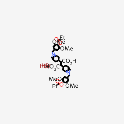 Br.Br.CCC(=O)Oc1c(OC)cc(CN2CC3CC(/C(C(=O)O)=C(\C(=O)O)C4CC5CC(C4)N(Cc4cc(OC)c(OC(=O)CC)c(OC)c4)C5)CC2C3)cc1OC